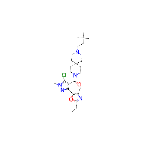 CCc1nc(C)c(-c2nn(C)c(Cl)c2C(=O)N2CCC3(CCN(CCC(C)(C)C)CC3)CC2)o1